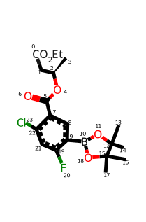 CCOC(=O)C[C@@H](C)OC(=O)c1cc(B2OC(C)(C)C(C)(C)O2)c(F)cc1Cl